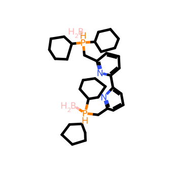 B[PH](Cc1cccc(-c2cccc(C[PH](B)(C3CCCCC3)C3CCCCC3)n2)n1)(C1CCCCC1)C1CCCCC1